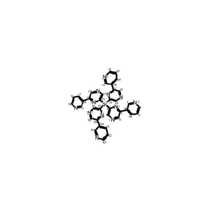 c1cncc(-c2cncc([Si](c3cncc(-c4cccnc4)n3)(c3cncc(-c4cccnc4)n3)c3cncc(-c4cccnc4)n3)n2)c1